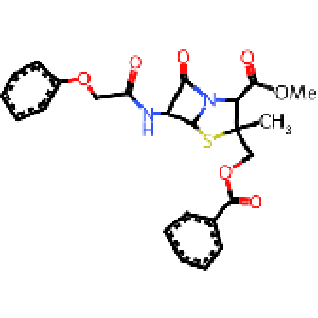 COC(=O)C1N2C(=O)C(NC(=O)COc3ccccc3)C2SC1(C)COC(=O)c1ccccc1